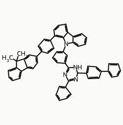 CC1(C)c2ccccc2-c2ccc(-c3ccc(-c4cccc5c6ccccc6n(-c6cccc(C7=NC(c8ccccc8)=NC(c8ccc(-c9ccccc9)cc8)N7)c6)c45)cc3)cc21